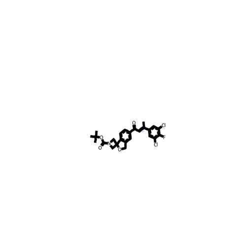 C/C(=C\C(=O)c1ccc2c(c1)COC21CN(C(=O)OC(C)(C)C)C1)c1cc(Cl)c(F)c(Cl)c1